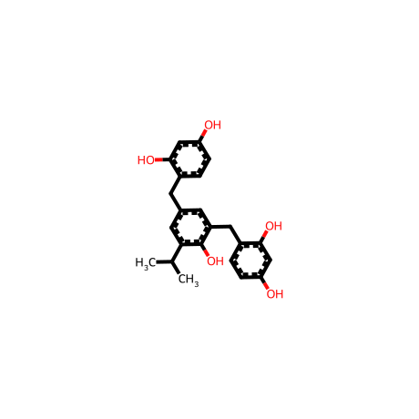 CC(C)c1cc(Cc2ccc(O)cc2O)cc(Cc2ccc(O)cc2O)c1O